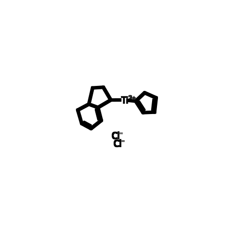 C1=CC[C]([Ti+2][CH]2CCC3CC=CC=C32)=C1.[Cl-].[Cl-]